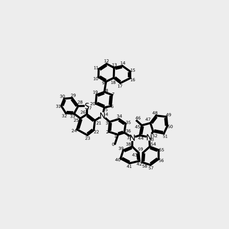 Cc1cc(N(c2ccc(-c3cccc4ccccc34)cc2)c2cccc3c2sc2ccccc23)ccc1N(c1ccccc1)c1c(C)c2ccccc2n1-c1ccccc1